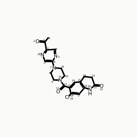 CC(=O)c1cnc(N2CCN(C(=O)c3cc4c(cc3Cl)NC(=O)CC4)CC2)cn1